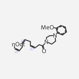 CCCCCCCC/C=C\C/C=C\C/C=C\CC(=O)N1CCN(c2ccccc2OC)CC1